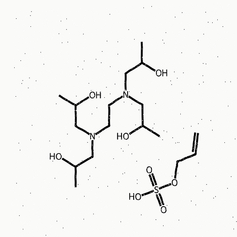 C=CCOS(=O)(=O)O.CC(O)CN(CCN(CC(C)O)CC(C)O)CC(C)O